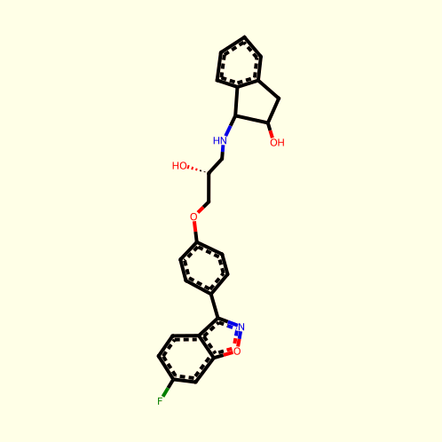 OC1Cc2ccccc2C1NC[C@@H](O)COc1ccc(-c2noc3cc(F)ccc23)cc1